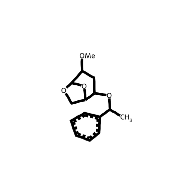 COC1CC(OC(C)c2ccccc2)C2COC1O2